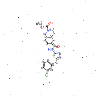 CC(C)(C)OC(=O)N1CCc2cc(C(=O)Nc3nnc(Cc4cccc(Cl)c4)s3)ccc2C1